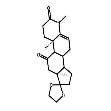 CN1C(=O)CC[C@@]2(C)C1=CCC1C2C(=O)C[C@@]2(C)C1CCC21OCCO1